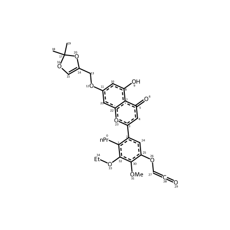 CCCc1c(-c2cc(=O)c3c(O)cc(OCC4=COC(C)(C)O4)cc3o2)cc(OC=C=O)c(OC)c1OCC